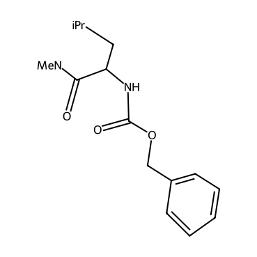 CNC(=O)C(CC(C)C)NC(=O)OCc1ccccc1